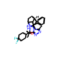 CCC(NC(=O)C1CCC(F)(F)CC1)(c1ccccc1)C1C2CC[C@H]1CC(n1c(C)nnc1C(C)C)N2